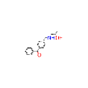 CC(O)CNCc1ccc(C(=O)c2ccccc2)cc1